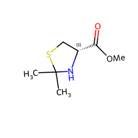 COC(=O)[C@H]1CSC(C)(C)N1